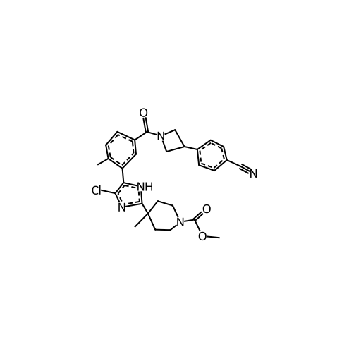 COC(=O)N1CCC(C)(c2nc(Cl)c(-c3cc(C(=O)N4CC(c5ccc(C#N)cc5)C4)ccc3C)[nH]2)CC1